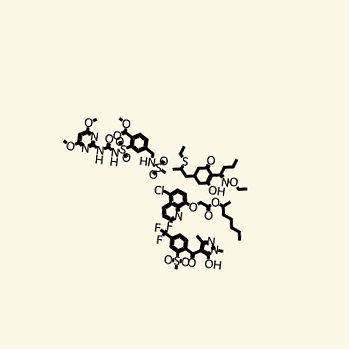 CCC/C(=N\OCC)C1=C(O)CC(CC(C)SCC)CC1=O.CCCCCC(C)OC(=O)COc1ccc(Cl)c2cccnc12.COC(=O)c1ccc(CNS(C)(=O)=O)cc1S(=O)(=O)NC(=O)Nc1nc(OC)cc(OC)n1.Cc1nn(C)c(O)c1C(=O)c1ccc(C(F)(F)F)cc1S(C)(=O)=O